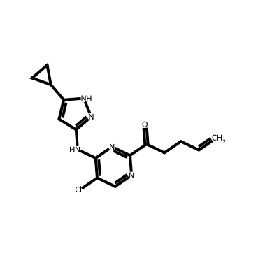 C=CCCC(=O)c1ncc(Cl)c(Nc2cc(C3CC3)[nH]n2)n1